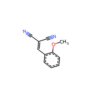 COc1ccccc1C=C(C#N)C#N